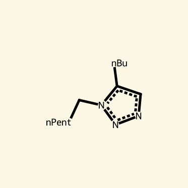 CCCCCCn1nncc1CCCC